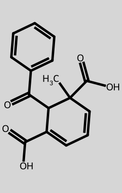 CC1(C(=O)O)C=CC=C(C(=O)O)C1C(=O)c1ccccc1